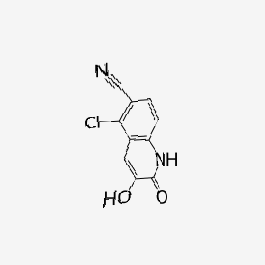 N#Cc1ccc2[nH]c(=O)c(O)cc2c1Cl